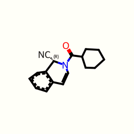 N#C[C@H]1c2ccccc2C=CN1C(=O)C1CCCCC1